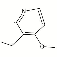 CCc1[c]nccc1OC